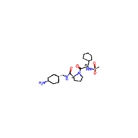 CS(=O)(=O)N[C@@H](C(=O)N1CCC[C@H]1C(=O)NC[C@H]1CC[C@H](N)CC1)C1CCCCC1